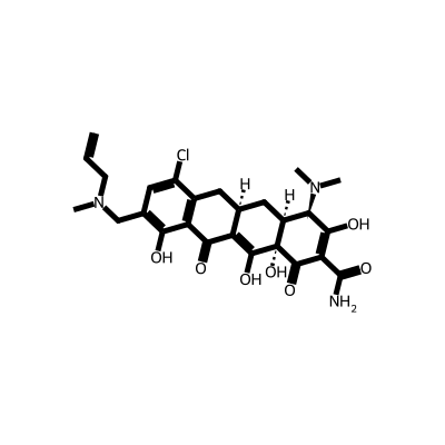 C=CCN(C)Cc1cc(Cl)c2c(c1O)C(=O)C1=C(O)[C@]3(O)C(=O)C(C(N)=O)=C(O)[C@H](N(C)C)[C@@H]3C[C@@H]1C2